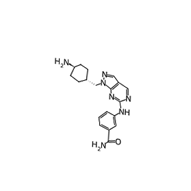 NC(=O)c1cccc(Nc2ncc3cnn(C[C@H]4CC[C@H](N)CC4)c3n2)c1